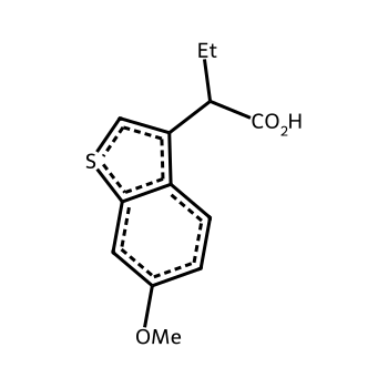 CCC(C(=O)O)c1csc2cc(OC)ccc12